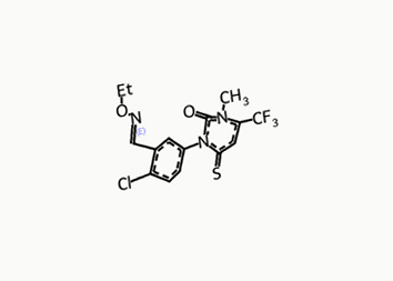 CCO/N=C/c1cc(-n2c(=S)cc(C(F)(F)F)n(C)c2=O)ccc1Cl